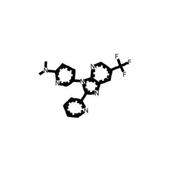 CN(C)c1ccc(-n2c(-c3ccccn3)nc3cc(C(F)(F)F)cnc32)cn1